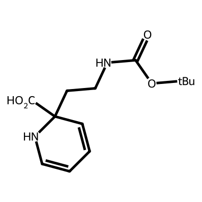 CC(C)(C)OC(=O)NCCC1(C(=O)O)C=CC=CN1